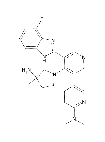 CN(C)c1ccc(-c2cncc(-c3nc4c(F)cccc4[nH]3)c2N2CCC(C)(N)C2)cn1